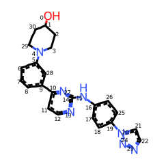 OC1CCN(c2cccc(-c3ccnc(Nc4ccc(-n5ccnn5)cc4)n3)c2)CC1